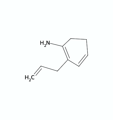 C=CCC1=C(N)CCC=C1